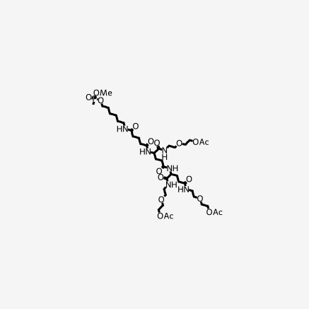 COP(C)(=O)OCCCCCCNC(=O)CCCC(=O)NC(CCC(=O)NC(CCC(=O)NCCOCCOC(C)=O)C(=O)NCCOCCOC(C)=O)C(=O)NCCOCCOC(C)=O